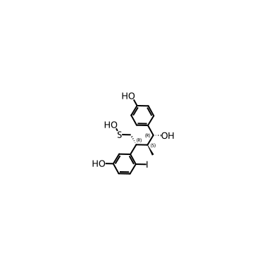 C[C@H]([C@@H](O)c1ccc(O)cc1)[C@@H](CSO)c1cc(O)ccc1I